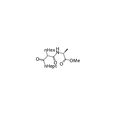 CCCCCCCC(=O)C(CCCCCC)C(=O)N[C@@H](C)C(=O)OC